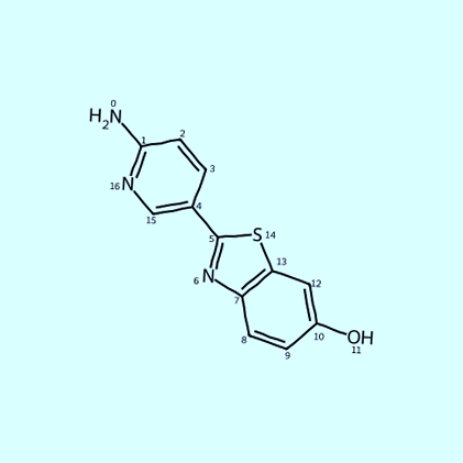 Nc1ccc(-c2nc3ccc(O)cc3s2)cn1